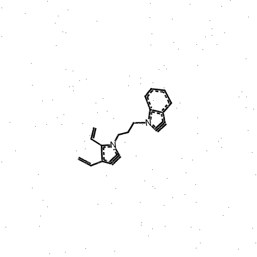 C=Cc1c#cn(CCCn2c#cc3ccccc32)c1C=C